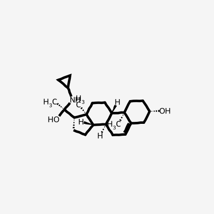 C[C@]12CC[C@H]3[C@@H](CC=C4C[C@@H](O)CC[C@@]43C)[C@@H]1CC[C@@H]2[C@@](C)(O)NC1CC1